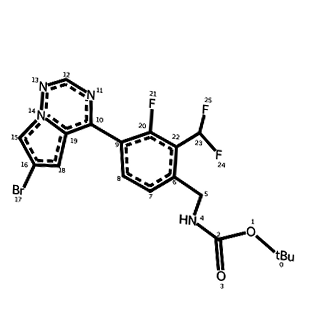 CC(C)(C)OC(=O)NCc1ccc(-c2ncnn3cc(Br)cc23)c(F)c1C(F)F